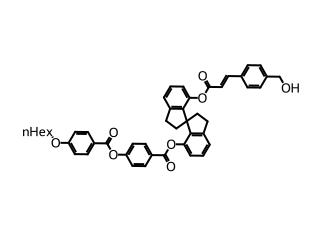 CCCCCCOc1ccc(C(=O)Oc2ccc(C(=O)Oc3cccc4c3C3(CCc5cccc(OC(=O)/C=C/c6ccc(CO)cc6)c53)CC4)cc2)cc1